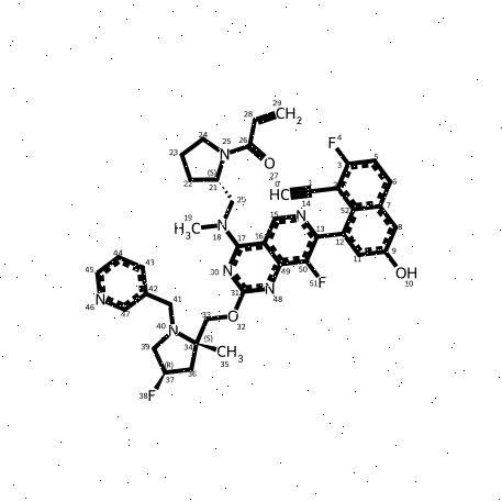 C#Cc1c(F)ccc2cc(O)cc(-c3ncc4c(N(C)C[C@@H]5CCCN5C(=O)C=C)nc(OC[C@]5(C)C[C@@H](F)CN5Cc5cccnc5)nc4c3F)c12